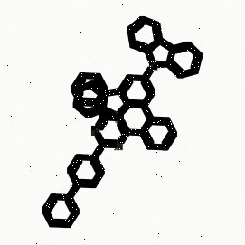 c1ccc(-c2ccc(-c3nc(-c4ccccc4)nc(-c4ccccc4-c4cc(-n5c6ccccc6c6ccccc65)cc5c4sc4ccccc45)n3)cc2)cc1